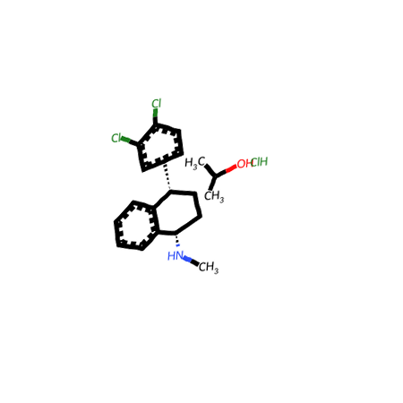 CC(C)O.CN[C@H]1CC[C@@H](c2ccc(Cl)c(Cl)c2)c2ccccc21.Cl